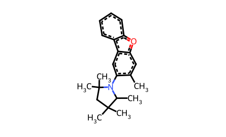 Cc1cc2oc3ccccc3c2cc1N1C(C)C(C)(C)CC1(C)C